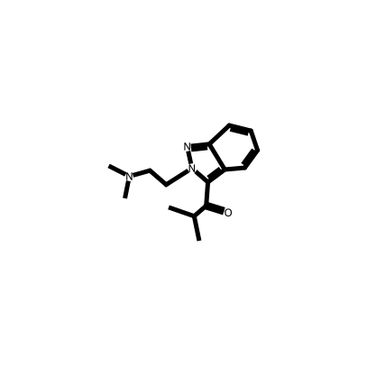 CC(C)C(=O)c1c2ccccc2nn1CCN(C)C